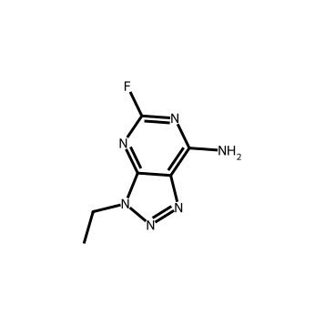 CCn1nnc2c(N)nc(F)nc21